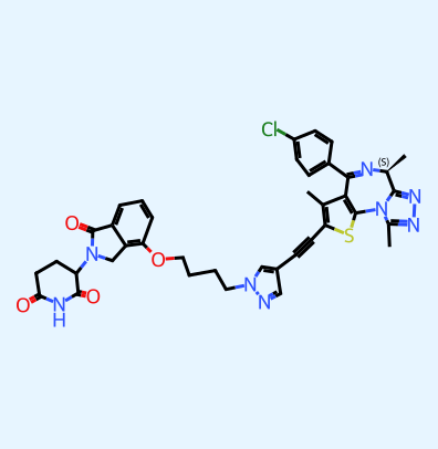 Cc1c(C#Cc2cnn(CCCCOc3cccc4c3CN(C3CCC(=O)NC3=O)C4=O)c2)sc2c1C(c1ccc(Cl)cc1)=N[C@@H](C)c1nnc(C)n1-2